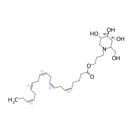 CC/C=C\C/C=C\C/C=C\C/C=C\C/C=C\CCCC(=O)OCCCN1CC(O)[C@@H](O)[C@H](O)C1CO